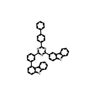 c1ccc(-c2ccc(-c3nc(-c4cccc(-c5cccc6sc7ccccc7c56)c4)nc(-c4ccc5sc6ccccc6c5c4)n3)cc2)cc1